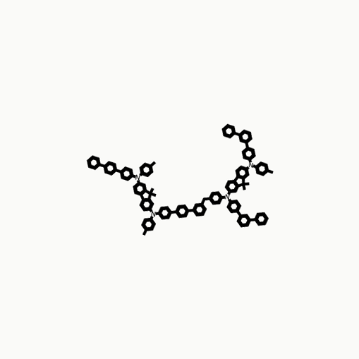 Cc1ccc(N(c2ccc(-c3ccc(-c4ccccc4)cc3)cc2)c2ccc3c(c2)C(C)(C)c2cc(N(c4ccc(C)cc4)c4ccc(-c5ccc(-c6cccc(Cc7ccc(N(c8ccc(-c9cccc(-c%10ccccc%10)c9)cc8)c8ccc9c(c8)C(C)(C)c8cc(N(c%10ccc(C)cc%10)c%10ccc(-c%11cccc(-c%12ccccc%12)c%11)cc%10)ccc8-9)cc7)c6)cc5)cc4)ccc2-3)cc1